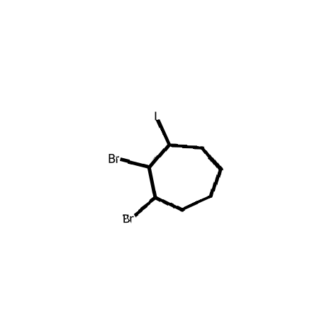 BrC1CCCCC(I)C1Br